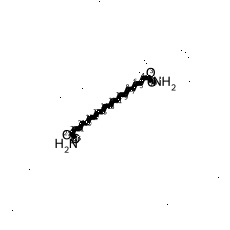 NOC(=O)CCCCCCCCCCCCCCCCCCCC(=O)ON